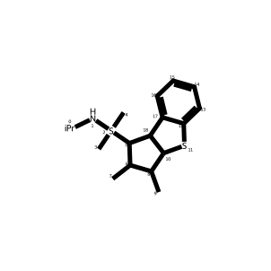 CC(C)NS(C)(C)C1C(C)C(C)C2Sc3ccccc3C21